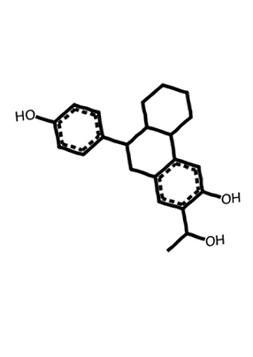 CC(O)c1cc2c(cc1O)C1CCCCC1C(c1ccc(O)cc1)C2